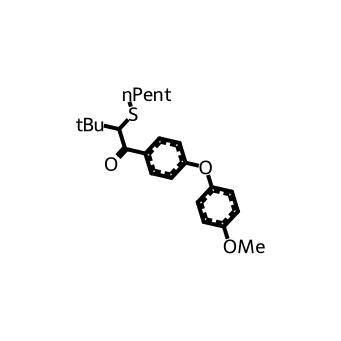 CCCCCSC(C(=O)c1ccc(Oc2ccc(OC)cc2)cc1)C(C)(C)C